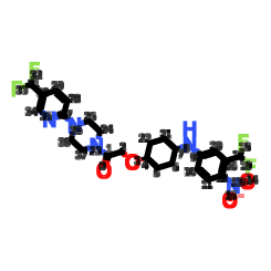 O=C(CO[C@H]1CC[C@H](Nc2ccc([N+](=O)[O-])c(C(F)F)c2)CC1)N1CCN(c2ccc(C(F)F)cn2)CC1